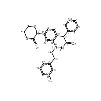 NC(=O)C(c1cccnc1)c1ccc(N2CCCCC2=O)nc1NCCc1cccc(F)c1